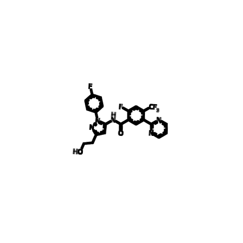 O=C(Nc1cc(CCO)nn1-c1ccc(F)cc1)c1cc(-c2ncccn2)c(C(F)(F)F)cc1F